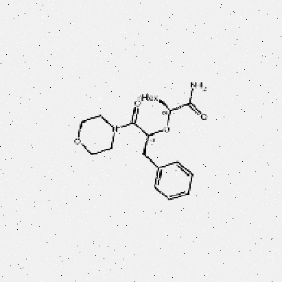 CCCCCC[C@H](O[C@@H](Cc1ccccc1)C(=O)N1CCOCC1)C(N)=O